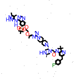 C=N/C(=N\C=C(/C)OCCOc1cc2ncnc(Nc3[nH]nc(C)c3C)c2cc1S(=O)(=O)C(C)(C)C)N1CCC2(CCN(C[C@H]3CN[C@H](C)CN3CC(=O)N3CC(C)(C)c4ncc(Cc5ccc(F)cc5)cc43)CC2)CC1